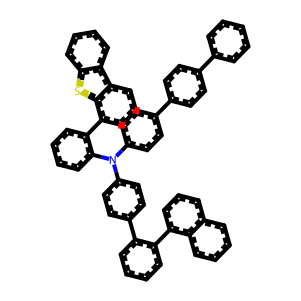 c1ccc(-c2ccc(-c3ccc(N(c4ccc(-c5ccccc5-c5cccc6ccccc56)cc4)c4ccccc4-c4cccc5c4sc4ccccc45)cc3)cc2)cc1